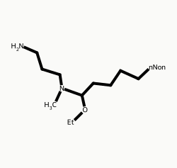 CCCCCCCCCCCCCC(OCC)N(C)CCCN